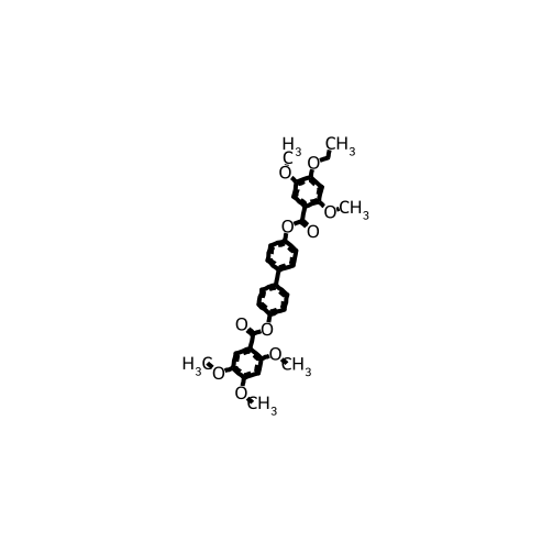 CCOc1cc(OC)c(C(=O)Oc2ccc(-c3ccc(OC(=O)c4cc(OC)c(OC)cc4OC)cc3)cc2)cc1OC